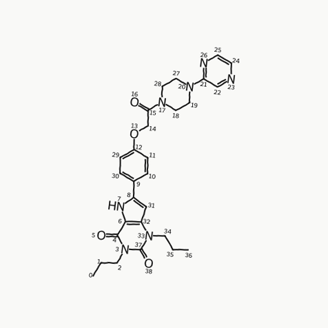 CCCn1c(=O)c2[nH]c(-c3ccc(OCC(=O)N4CCN(c5cnccn5)CC4)cc3)cc2n(CCC)c1=O